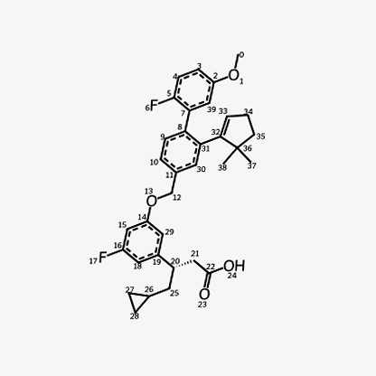 COc1ccc(F)c(-c2ccc(COc3cc(F)cc([C@H](CC(=O)O)CC4CC4)c3)cc2C2=CCCC2(C)C)c1